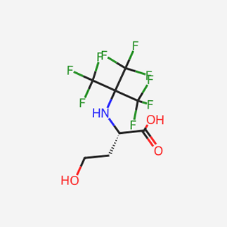 O=C(O)[C@H](CCO)NC(C(F)(F)F)(C(F)(F)F)C(F)(F)F